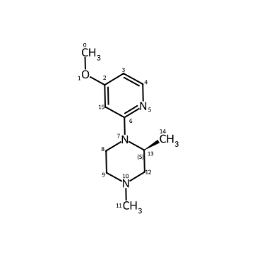 COc1ccnc(N2CCN(C)C[C@@H]2C)c1